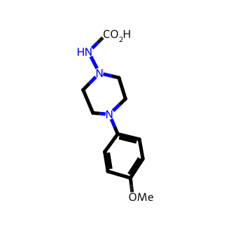 COc1ccc(N2CCN(NC(=O)O)CC2)cc1